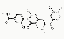 CNC(=O)c1ccc(-n2c(Cl)nc3c(c2=O)C[C@@H](C)N(C(=O)c2ccc(Cl)c(Cl)c2)C3)c(Cl)c1